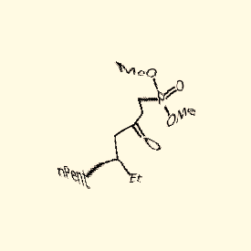 CCCCCC(CC)CC(=O)CP(=O)(OC)OC